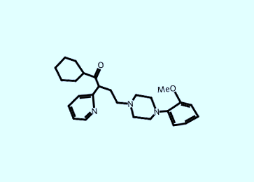 COc1ccccc1N1CCN(CCC(C(=O)C2CCCCC2)c2ccccn2)CC1